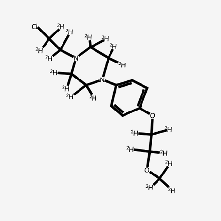 [2H]C([2H])([2H])OC([2H])([2H])C([2H])([2H])Oc1ccc(N2C([2H])([2H])C([2H])([2H])N(C([2H])([2H])C([2H])([2H])Cl)C([2H])([2H])C2([2H])[2H])cc1